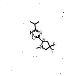 CC(C)c1noc([C@H]2CC(F)(F)CN2C)n1